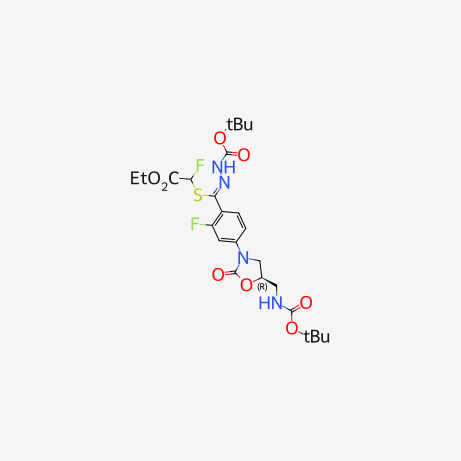 CCOC(=O)C(F)SC(=NNC(=O)OC(C)(C)C)c1ccc(N2C[C@@H](CNC(=O)OC(C)(C)C)OC2=O)cc1F